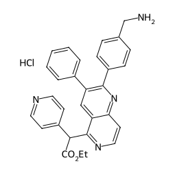 CCOC(=O)C(c1ccncc1)c1nccc2nc(-c3ccc(CN)cc3)c(-c3ccccc3)cc12.Cl